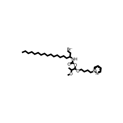 CCCCCCCCCCCCCCCC(CC)NC(=O)OC(OCCCC[n+]1ccccn1)C(C)OC.[Br-]